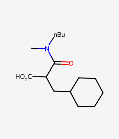 CCCCN(C)C(=O)C(CC1CCCCC1)C(=O)O